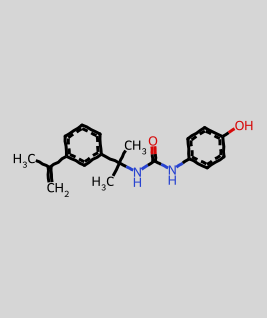 C=C(C)c1cccc(C(C)(C)NC(=O)Nc2ccc(O)cc2)c1